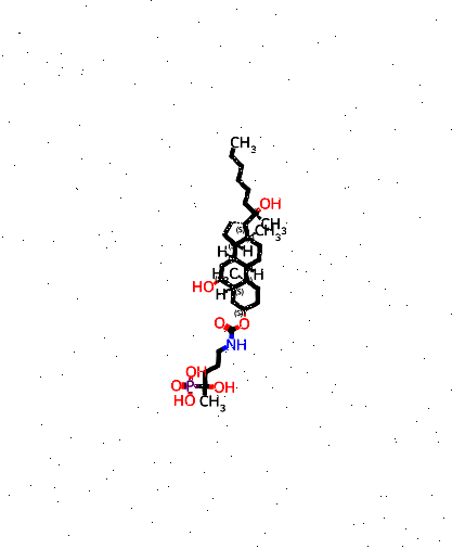 CCCCCC[C@](C)(O)[C@H]1CC[C@H]2[C@@H]3C[C@H](O)[C@H]4C[C@@H](OC(=O)NCCCC(C)(O)P(=O)(O)O)CC[C@]4(C)[C@H]3CC[C@@]21C